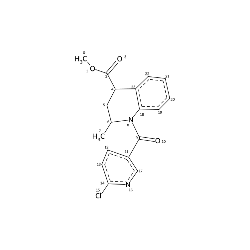 COC(=O)C1CC(C)N(C(=O)c2ccc(Cl)nc2)c2ccccc21